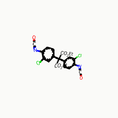 CCOC(=O)C(C(=O)OCC)(c1ccc(N=C=O)c(Cl)c1)c1ccc(N=C=O)c(Cl)c1